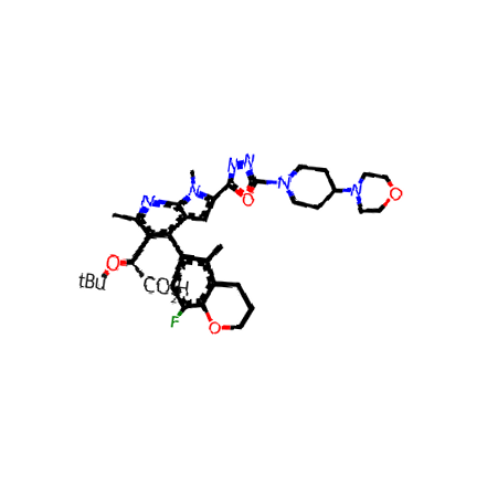 Cc1nc2c(cc(-c3nnc(N4CCC(N5CCOCC5)CC4)o3)n2C)c(-c2cc(F)c3c(c2C)CCCO3)c1[C@H](OC(C)(C)C)C(=O)O